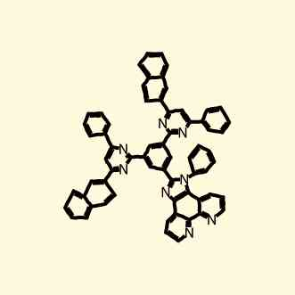 c1ccc(-c2cc(-c3ccc4ccccc4c3)nc(-c3cc(-c4nc(-c5ccccc5)cc(-c5ccc6ccccc6c5)n4)cc(-c4nc5c6cccnc6c6ncccc6c5n4-c4ccccc4)c3)n2)cc1